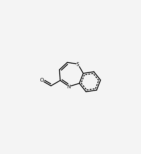 O=CC1=Nc2ccccc2SC=C1